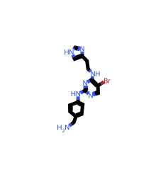 NCc1ccc(Nc2ncc(Br)c(NCCc3c[nH]cn3)n2)cc1